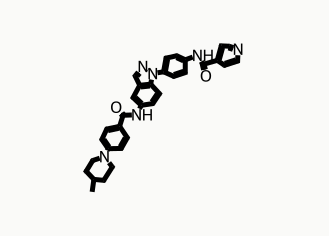 CC1CCN(c2ccc(C(=O)Nc3ccc4c(cnn4-c4ccc(NC(=O)c5ccncc5)cc4)c3)cc2)CC1